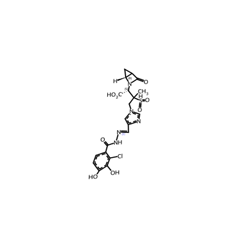 CC(Cn1cnc(/C=N/NC(=O)c2ccc(O)c(O)c2Cl)c1)([C@H](C(=O)O)N1C(=O)C2C[C@H]21)[SH](=O)=O